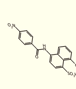 O=C(Nc1ccc(S(=O)(=O)O)c2c(O)cccc12)c1ccc([N+](=O)[O-])cc1